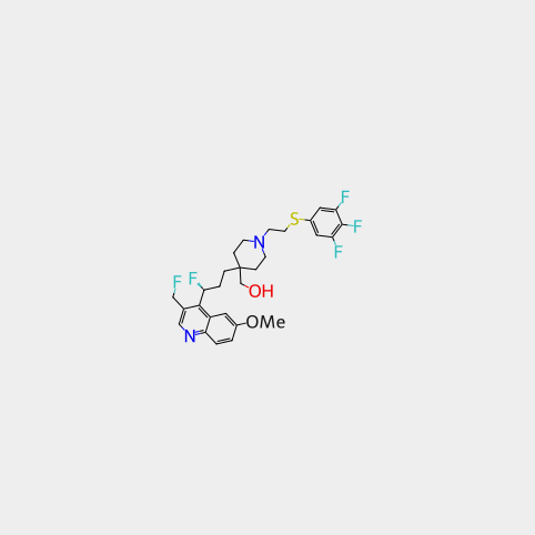 COc1ccc2ncc(CF)c([C@@H](F)CCC3(CO)CCN(CCSc4cc(F)c(F)c(F)c4)CC3)c2c1